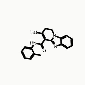 Cc1ccccc1NC(=O)C1=C(O)CCn2c1nc1ccccc12